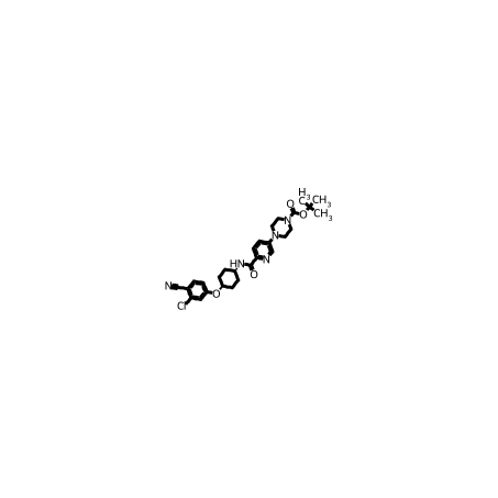 CC(C)(C)OC(=O)N1CCN(c2ccc(C(=O)N[C@H]3CC[C@H](Oc4ccc(C#N)c(Cl)c4)CC3)nc2)CC1